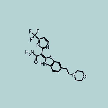 NC(=O)C(=C1Nc2ccc(CCN3CCOCC3)cc2S1)c1nccc(C(F)(F)F)n1